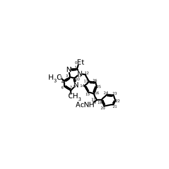 CCc1nc2c(C)cc(C)nc2n1Cc1ccc(C(NC(C)=O)c2ccccc2)cc1